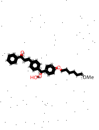 COCCCCCCOc1ccc(C(OO)c2ccc(/C=C/C(=O)c3ccccc3)cc2)cc1